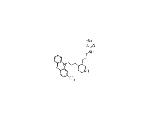 CC(C)(C)OC(=O)NCCCC1CNCCC1CCCN1c2ccccc2Sc2ccc(C(F)(F)F)cc21